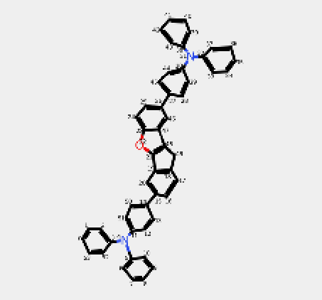 c1ccc(N(c2ccccc2)c2ccc(-c3ccc4c(c3)-c3oc5ccc(-c6ccc(N(c7ccccc7)c7ccccc7)cc6)cc5c3C4)cc2)cc1